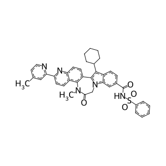 Cc1ccnc(-c2ccc3c4c(ccc3n2)-c2c(C3CCCCC3)c3ccc(C(=O)NS(=O)(=O)c5ccccc5)cc3n2CC(=O)N4C)c1